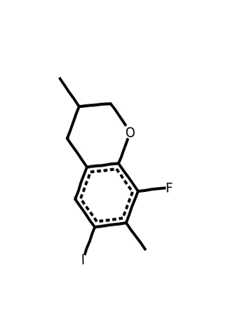 Cc1c(I)cc2c(c1F)OCC(C)C2